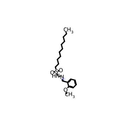 CCCCCCCCCCCS(=O)(=O)N/N=C/c1ccccc1OC